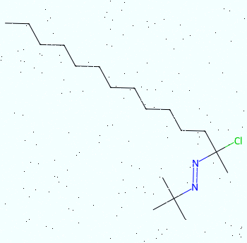 CCCCCCCCCCCCC(C)(Cl)N=NC(C)(C)C